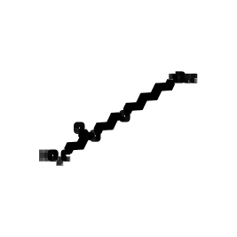 CCCCCCCCCCCCCCCCOCCCOC(=O)CCC(=O)O